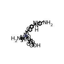 CC(O/N=C(\C(=O)NC1C(=O)N(OS(=O)O)C1(C)C)c1csc(N)n1)C1CCc2cc(C(=N)NC3CCC(CN)CC3)ccc2O1